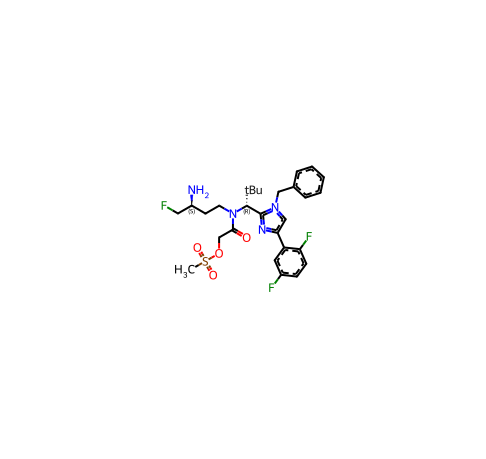 CC(C)(C)[C@H](c1nc(-c2cc(F)ccc2F)cn1Cc1ccccc1)N(CC[C@H](N)CF)C(=O)COS(C)(=O)=O